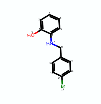 Oc1ccccc1NCc1ccc(Br)cc1